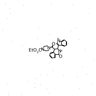 CCOC(=O)N1CCN(C(=O)C2c3ccccc3C(=O)N(C)C2c2cn(C)c3ccccc23)CC1